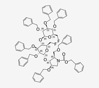 O=C(OCc1ccccc1)N1C[C@@H](OCc2ccccc2)[C@H](O[C@H]2O[C@H](CF)[C@@H](O[C@@H]3O[C@H](CF)[C@@H](OCc4ccccc4)[C@H](OCc4ccccc4)[C@H]3OCc3ccccc3)[C@H](OCc3ccccc3)[C@H]2OCc2ccccc2)[C@H]1COCc1ccccc1